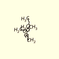 C=CCOc1cc(C(C)(C)CCCCCC)ccc1C1CCCN(CC=C)C1